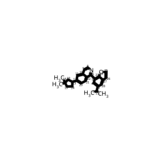 CC(C)c1cc(-c2nccc3cc(C4CCC(C)(C)C4)ccc23)c2occc2c1